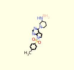 BNC1CCCN(c2ncnc3c2ccn3S(=O)(=O)c2ccc(C)cc2)C1